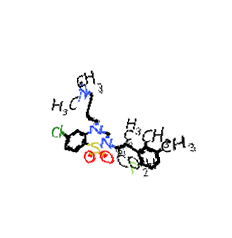 Cc1ccc(F)c([C@@H](C)[C@@H](C(=O)O)N2CN(CCCN(C)C)c3cc(Cl)ccc3S2(=O)=O)c1C